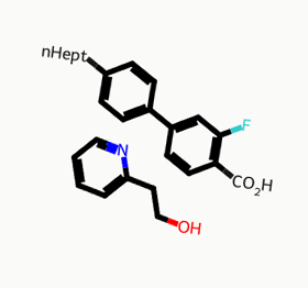 CCCCCCCc1ccc(-c2ccc(C(=O)O)c(F)c2)cc1.OCCc1ccccn1